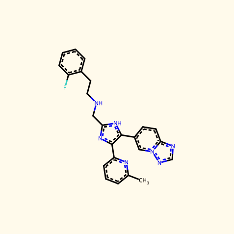 Cc1cccc(-c2nc(CNCCc3ccccc3F)[nH]c2-c2ccc3ncnn3c2)n1